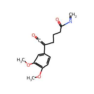 C=NC(=O)CCCC(=C=O)c1ccc(OC)c(OC)c1